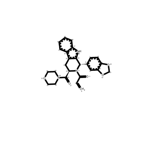 C=CC(=O)N1[C@@H](c2ccc3c(c2)OCO3)c2[nH]c3ccccc3c2C[C@@H]1C(=O)N1CCOCC1